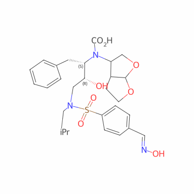 CC(C)CN(C[C@@H](O)[C@H](Cc1ccccc1)N(C(=O)O)C1COC2OCCC21)S(=O)(=O)c1ccc(C=NO)cc1